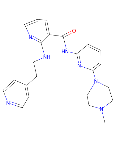 CN1CCN(c2cccc(NC(=O)c3cccnc3NCCc3ccncc3)n2)CC1